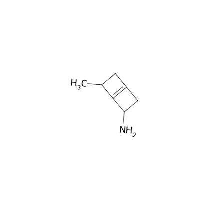 CC1CC2=C1C(N)C2